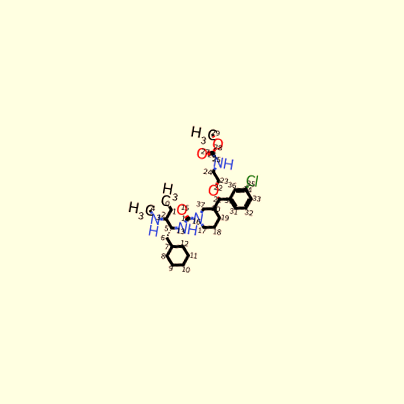 CCC(NC)[C@@H](CC1CCCCC1)NC(=O)N1CCCC([C@@H](OCCNC(=O)OC)c2cccc(Cl)c2)C1